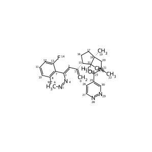 C=C(/C=C(\N=N/C)c1c(F)cccc1F)[C@@H]1CC[C@@](C)(CN(C)C(=O)c2ccnnc2)C1(C)C